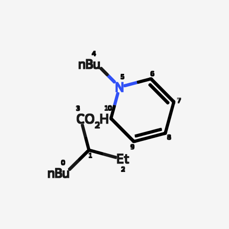 CCCCC(CC)C(=O)O.CCCCN1C=CC=CC1